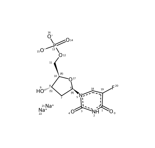 O=c1[nH]c(=O)n([C@H]2C[C@H](O)[C@@H](COP(=O)([O-])[O-])O2)cc1F.[Na+].[Na+]